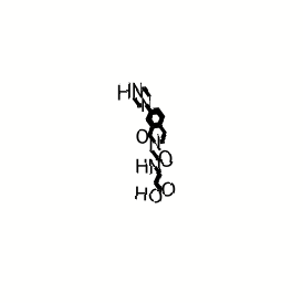 O=C(O)CCNC(=O)CN1CCc2ccc(N3CCNCC3)cc2C1=O